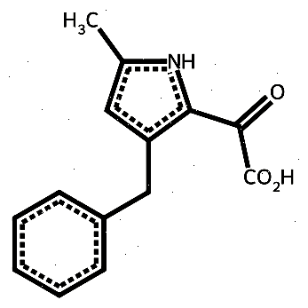 Cc1cc(Cc2ccccc2)c(C(=O)C(=O)O)[nH]1